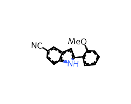 COc1ccccc1-c1cc2cc(C#N)ccc2[nH]1